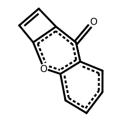 O=c1c2c(oc3ccccc13)C=C2